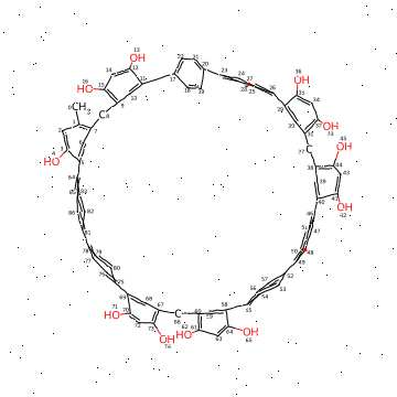 Cc1cc(O)c2cc1Cc1cc(c(O)cc1O)-c1ccc(cc1)-c1ccc(cc1)-c1cc(c(O)cc1O)Cc1cc(c(O)cc1O)-c1ccc(cc1)-c1ccc(cc1)-c1cc(c(O)cc1O)Cc1cc(c(O)cc1O)-c1ccc(cc1)-c1ccc-2cc1